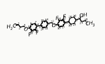 C=CCCOc1ccc(-c2ccc(COc3ccc(C4CCC(C(O)CCC)CC4)c(F)c3F)cc2)c(F)c1F